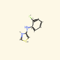 Fc1ccccc1Nc1cscn1